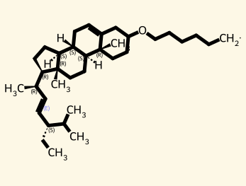 [CH2]CCCCCOC1CC[C@@]2(C)C(=CC[C@H]3[C@@H]4CC[C@H]([C@H](C)/C=C/[C@@H](CC)C(C)C)[C@@]4(C)CC[C@@H]32)C1